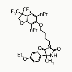 CCCc1cc2c(c(CCC)c1OCCCCN1C(=O)NC(C)(c3ccc(OCC)cc3)C1=O)OCC2(C(F)(F)F)C(F)(F)F